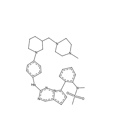 CN1CCN(CC2CCCN(c3ccc(Nc4ncc5ccc(-c6ccccc6N(C)S(C)(=O)=O)n5n4)cc3)C2)CC1